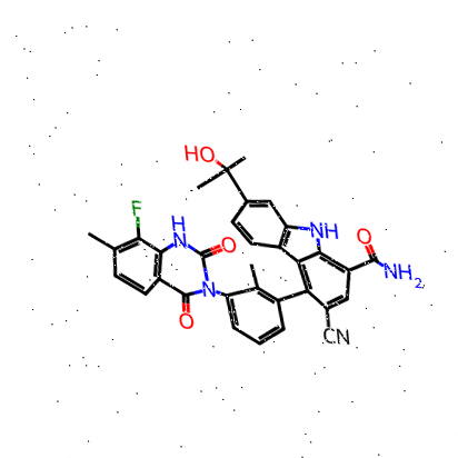 Cc1ccc2c(=O)n(-c3cccc(-c4c(C#N)cc(C(N)=O)c5[nH]c6cc(C(C)(C)O)ccc6c45)c3C)c(=O)[nH]c2c1F